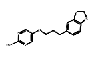 CNc1ncc(OCCCc2ccc3c(c2)OCO3)cn1